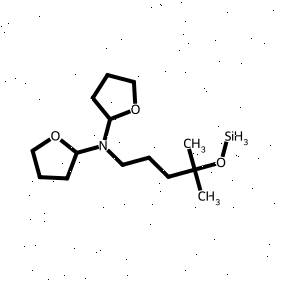 CC(C)(CCCN(C1CCCO1)C1CCCO1)O[SiH3]